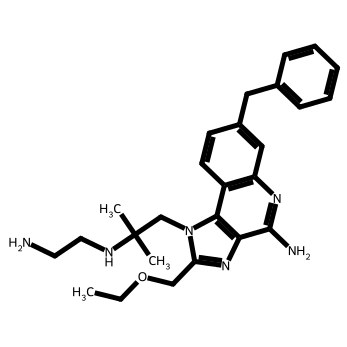 CCOCc1nc2c(N)nc3cc(Cc4ccccc4)ccc3c2n1CC(C)(C)NCCN